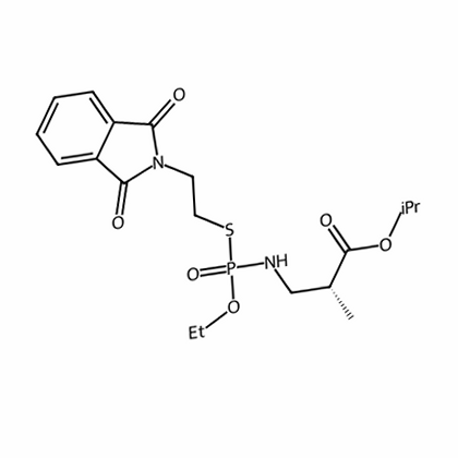 CCOP(=O)(NC[C@@H](C)C(=O)OC(C)C)SCCN1C(=O)c2ccccc2C1=O